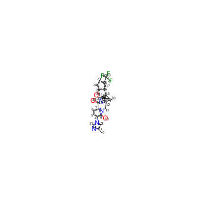 Cc1cn(-c2ccc3n(c2=O)CCN(C[C@]24c5cc(C(F)(F)F)ccc5OC[C@H]2[C@@H]4C)C3=O)cn1